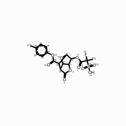 O=C1OC2C(OC(=O)C(F)(F)S(=O)(=O)O)C3OC2C1C3C(=O)Oc1ccc(I)cc1